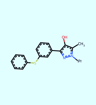 Cc1c(O)c(-c2cccc(Sc3ccccc3)c2)nn1C(C)C